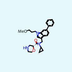 COCCCn1cc(CN(C(=O)[C@H]2CNCCO2)C2CC2)c2ccc(-c3ccccc3)cc21